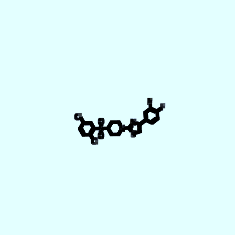 O=S(=O)(c1cc(Cl)ccc1Cl)C1CCN(c2nc(-c3ccc(F)c(F)c3)cs2)CC1